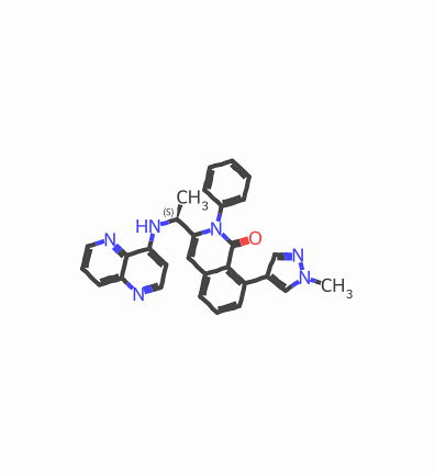 C[C@H](Nc1ccnc2cccnc12)c1cc2cccc(-c3cnn(C)c3)c2c(=O)n1-c1ccccc1